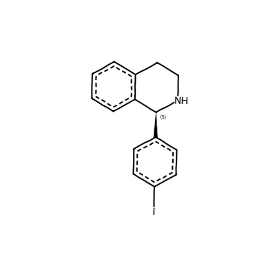 Ic1ccc([C@@H]2NCCc3ccccc32)cc1